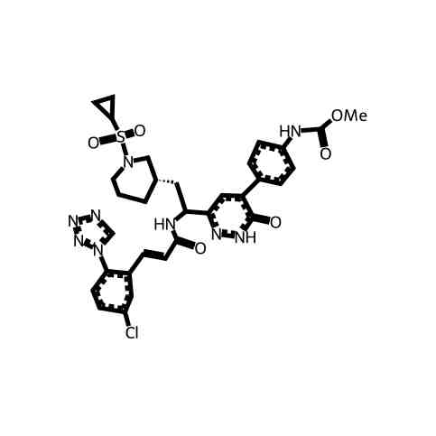 COC(=O)Nc1ccc(-c2cc(C(C[C@@H]3CCCN(S(=O)(=O)C4CC4)C3)NC(=O)/C=C/c3cc(Cl)ccc3-n3cnnn3)n[nH]c2=O)cc1